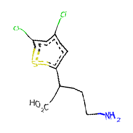 NCCC(C(=O)O)c1cc(Cl)c(Cl)s1